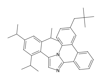 CC(C)c1cc(C(C)C)c(-c2cnc3c4ccccc4c4cc(CC(C)(C)C)ccc4n23)c(C(C)C)c1